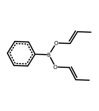 CC=COB(OC=CC)c1ccccc1